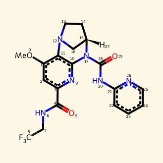 COc1cc(C(=O)NCC(F)(F)F)nc2c1N1CC[C@@H](C1)N2C(=O)Nc1ccccn1